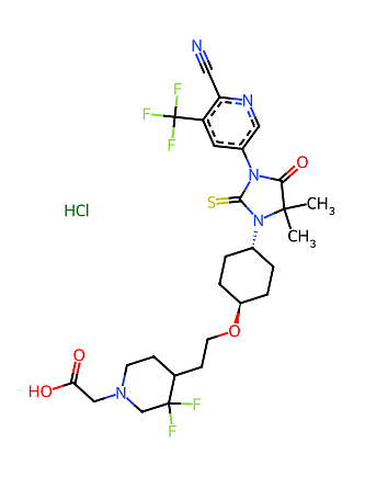 CC1(C)C(=O)N(c2cnc(C#N)c(C(F)(F)F)c2)C(=S)N1[C@H]1CC[C@H](OCCC2CCN(CC(=O)O)CC2(F)F)CC1.Cl